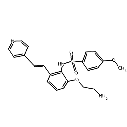 COc1ccc(S(=O)(=O)Nc2c(C=Cc3ccncc3)cccc2OCCN)cc1